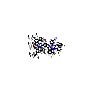 CC(C)(C)c1cc(C(C)(C)C)c(-c2nc(-c3ccc4c(c3)c3ccccc3n4-c3ccc(C#N)cc3-c3nc(-c4ccccc4C(C)(C)C)nc(-c4ccccc4C(C)(C)C)n3)nc(-c3c(C(C)(C)C)cc(C(C)(C)C)cc3C(C)(C)C)n2)c(C(C)(C)C)c1